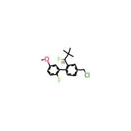 COc1ccc(F)c(-c2ccc(CCl)cc2[C@@H](F)C(C)(C)C)c1